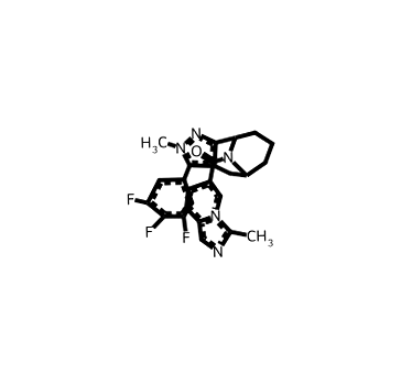 Cc1ncc2ccc(C(=O)N3C4CCCC3c3nn(C)c(-c5cc(F)c(F)c(F)c5)c3C4)cn12